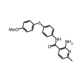 COc1ccc(Sc2ccc(NC(=O)c3ccc(C)nc3N)cc2)cc1